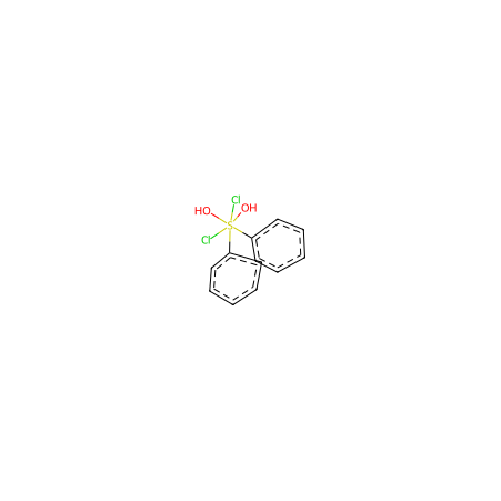 OS(O)(Cl)(Cl)(c1ccccc1)c1ccccc1